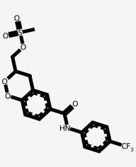 CS(=O)(=O)OCC1Cc2cc(C(=O)Nc3ccc(C(F)(F)F)cc3)ccc2OO1